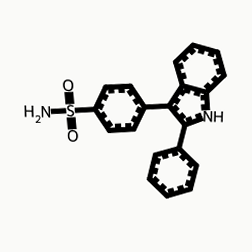 NS(=O)(=O)c1ccc(-c2c(-c3ccccc3)[nH]c3ccccc23)cc1